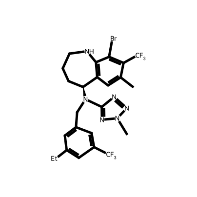 CCc1cc(CN(c2nnn(C)n2)[C@H]2CCCNc3c2cc(C)c(C(F)(F)F)c3Br)cc(C(F)(F)F)c1